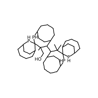 CC1(C)C(C2C3CCCCC(CC3)PC3(PC4CCCCC3CC4)C2(C)CO)C2CCCCC(CC2)PC12PC1CCCCC2CC1